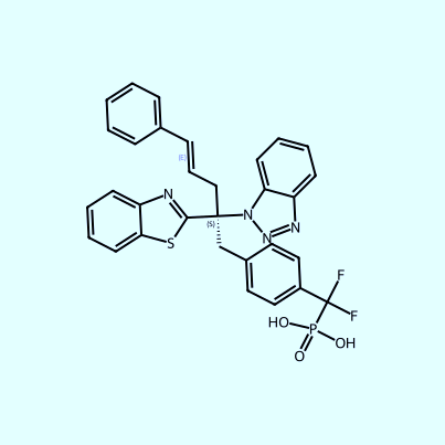 O=P(O)(O)C(F)(F)c1ccc(C[C@@](C/C=C/c2ccccc2)(c2nc3ccccc3s2)n2nnc3ccccc32)cc1